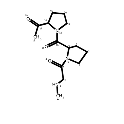 CNCC(=O)N1CCCC1C(=O)N1CCCC1C(C)=O